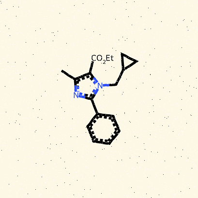 CCOC(=O)c1c(C)nc(-c2ccccc2)n1CC1CC1